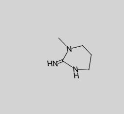 CN1CCCNC1=N